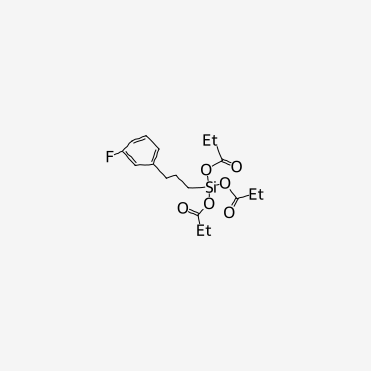 CCC(=O)O[Si](CCCc1cccc(F)c1)(OC(=O)CC)OC(=O)CC